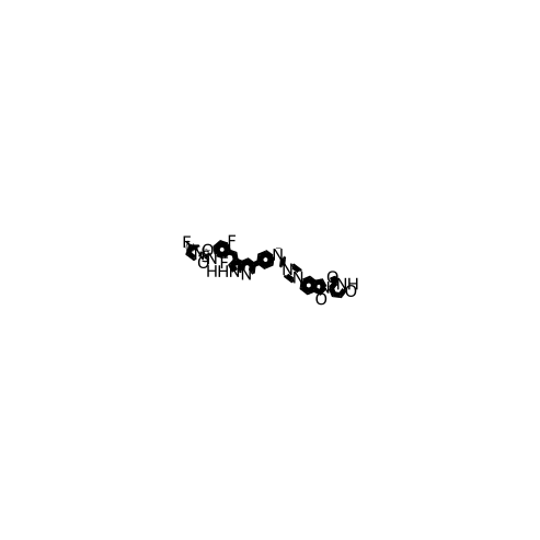 CN(CCN1CCN(c2ccc3c(c2)CN(C2CCC(=O)NC2=O)C3=O)CC1)c1ccc(-c2cnc3[nH]cc(Cc4c(F)ccc(NS(=O)(=O)N5CC[C@@H](F)C5)c4F)c3c2)cc1